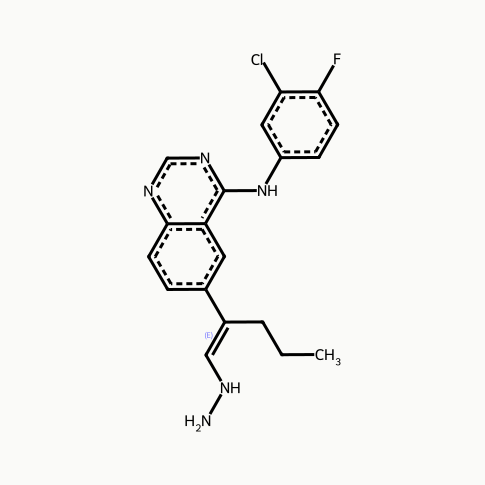 CCC/C(=C\NN)c1ccc2ncnc(Nc3ccc(F)c(Cl)c3)c2c1